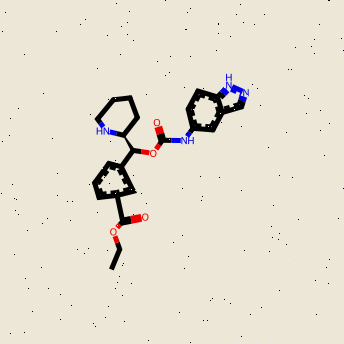 CCOC(=O)c1cccc(C(OC(=O)Nc2ccc3[nH]ncc3c2)[C@@H]2CCCCN2)c1